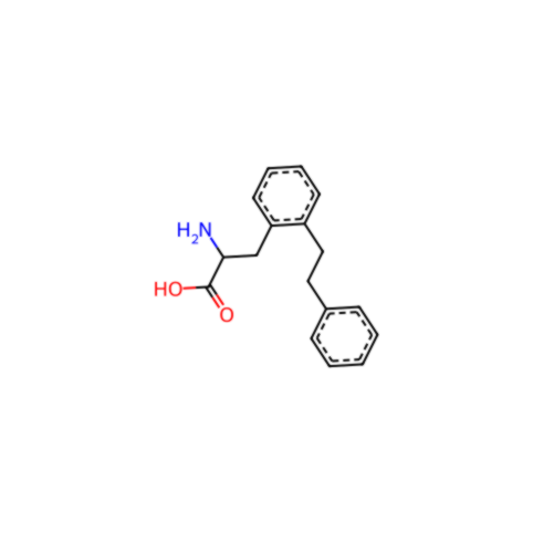 NC(Cc1ccccc1CCc1ccccc1)C(=O)O